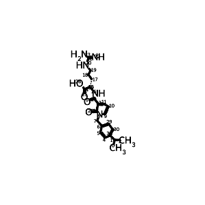 CC(C)c1ccc(Cn2cccc(C(=O)N[C@@H](CCCNC(=N)N)C(=O)O)c2=O)cc1